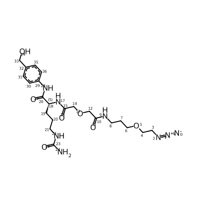 [N-]=[N+]=NCCOCCCNC(=O)COCC(=O)N[C@@H](CCCNC(N)=O)C(=O)Nc1ccc(CO)cc1